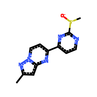 Cc1cc2nc(-c3ccnc([S+](C)[O-])n3)ccn2n1